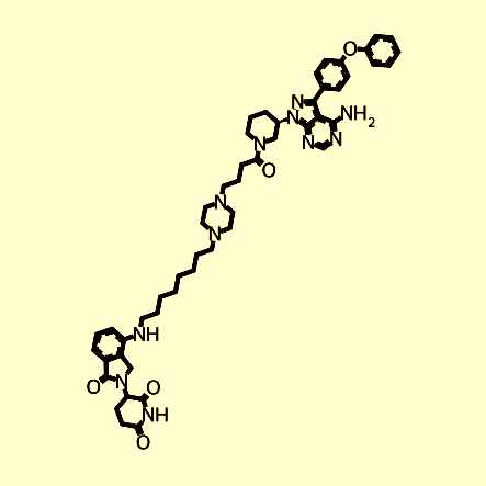 Nc1ncnc2c1c(-c1ccc(Oc3ccccc3)cc1)nn2[C@@H]1CCCN(C(=O)CCCN2CCN(CCCCCCCCNc3cccc4c3CN(C3CCC(=O)NC3=O)C4=O)CC2)C1